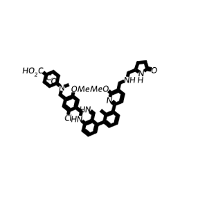 COc1cc(CNc2cccc(-c3cccc(-c4ccc(CNCC5CCC(=O)N5)c(OC)n4)c3C)c2C=N)c(Cl)cc1CN(C)C12CCC(C(=O)O)(CC1)CC2